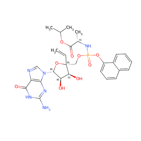 C=C[C@]1(COP(=O)(N[C@@H](C)C(=O)OC(C)C)Oc2cccc3ccccc23)O[C@@H](n2cnc3c(=O)[nH]c(N)nc32)[C@H](O)[C@@H]1O